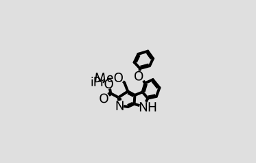 COCc1c(C(=O)OC(C)C)ncc2[nH]c3cccc(Oc4ccccc4)c3c12